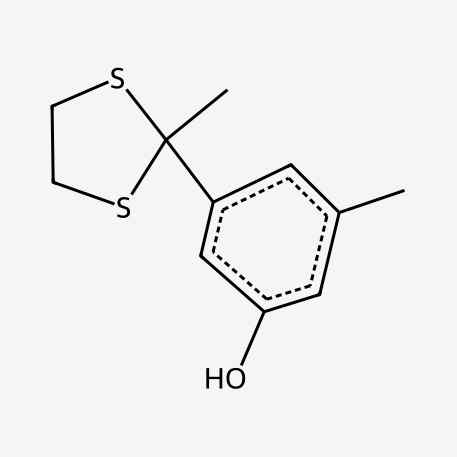 Cc1cc(O)cc(C2(C)SCCS2)c1